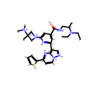 CCN(CC)C(C)CNC(=O)c1cc(-c2cnn3ccc(-c4cccs4)nc23)nc(N2CC(C)(N(C)C)C2)c1